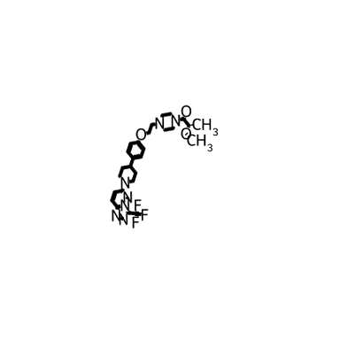 CO[C@@H](C)C(=O)N1CCN(CCOc2ccc(C3CCN(c4ccc5nnc(C(F)(F)F)n5n4)CC3)cc2)CC1